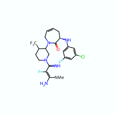 CN/C(N)=C(/F)C(=N)N1CCC(C(F)(F)F)C(N2CC=CC[C@@H](Nc3cc(F)cc(Cl)c3)C2=O)C1